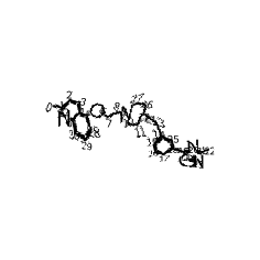 Cc1ccc2c(OCCN3CCC(Cc4cccc(-c5nc(C)no5)c4)CC3)cccc2n1